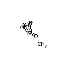 CCCCCCCOc1ccc(-c2cnc(-c3ccc(C[C@H](NC(=O)c4ccc(N5CCCC5)cc4)C(=O)O)cc3)nc2)cc1